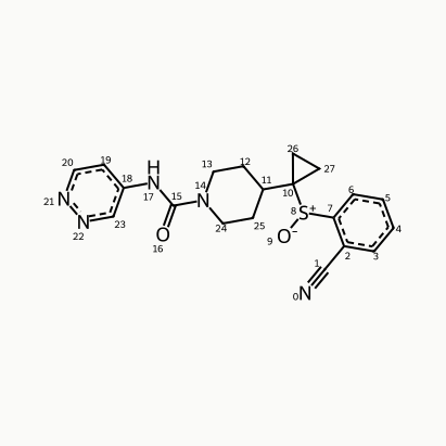 N#Cc1ccccc1[S+]([O-])C1(C2CCN(C(=O)Nc3ccnnc3)CC2)CC1